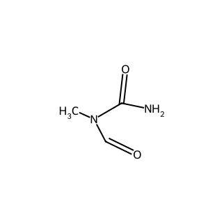 CN(C=O)C(N)=O